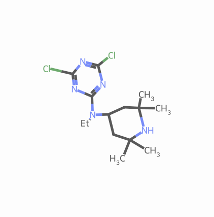 CCN(c1nc(Cl)nc(Cl)n1)C1CC(C)(C)NC(C)(C)C1